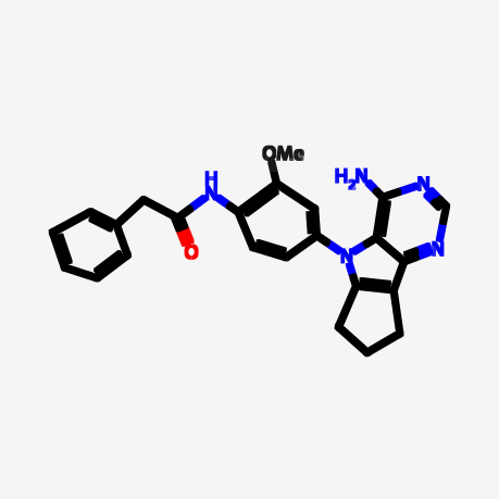 COc1cc(-n2c3c(c4ncnc(N)c42)CCC3)ccc1NC(=O)Cc1ccccc1